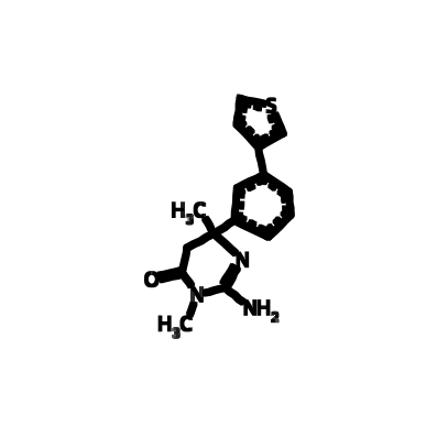 CN1C(=O)CC(C)(c2cccc(-c3ccsc3)c2)N=C1N